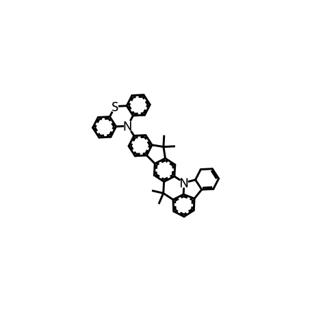 CC1(C)c2cc(N3c4ccccc4Sc4ccccc43)ccc2-c2cc3c(cc21)N1c2c(cccc2C3(C)C)C2=CC=CCC21